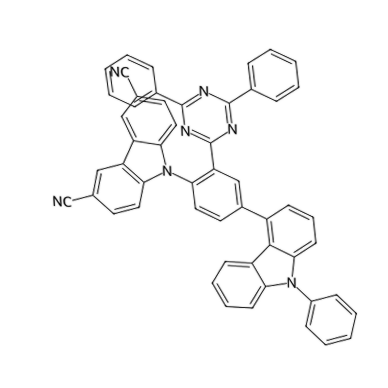 N#Cc1ccc2c(c1)c1cc(C#N)ccc1n2-c1ccc(-c2cccc3c2c2ccccc2n3-c2ccccc2)cc1-c1nc(-c2ccccc2)nc(-c2ccccc2)n1